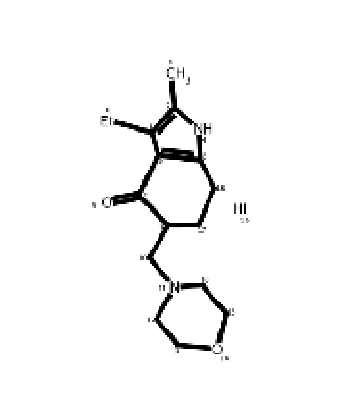 CCc1c(C)[nH]c2c1C(=O)C(CN1CCOCC1)CC2.I